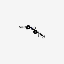 COc1ccc(/C=C/C(=O)c2cccc(CNCCCN(C)C)c2)cc1